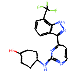 OC1CCC(Nc2nccc(-c3n[nH]c4c(C(F)(F)F)cccc34)n2)CC1